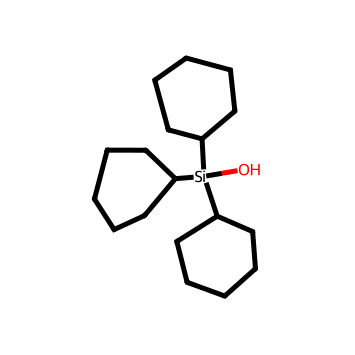 O[Si](C1CCCCC1)(C1CCCCC1)C1CCCCC1